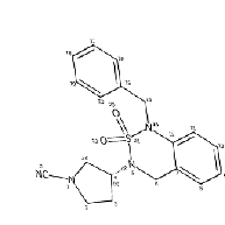 N#CN1CC[C@@H](N2Cc3ccccc3N(Cc3ccccc3)S2(=O)=O)C1